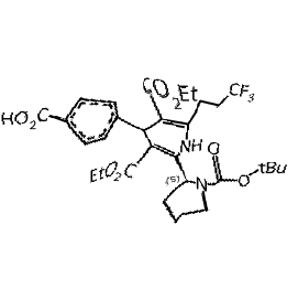 CCOC(=O)C1=C(CCC(F)(F)F)NC([C@@H]2CCCN2C(=O)OC(C)(C)C)=C(C(=O)OCC)C1c1ccc(C(=O)O)cc1